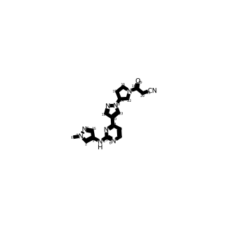 Cn1cc(Nc2nccc(-c3cnn(C4CCN(C(=O)CC#N)C4)c3)n2)cn1